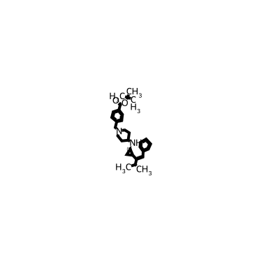 CC(C)C(=Cc1ccccc1)C1C[C@@H]1NC1CCN(Cc2ccc(C(=O)OC(C)(C)C)cc2)CC1